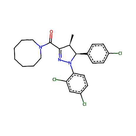 C[C@@H]1C(C(=O)N2CCCCCCC2)=NN(c2ccc(Cl)cc2Cl)[C@@H]1c1ccc(Cl)cc1